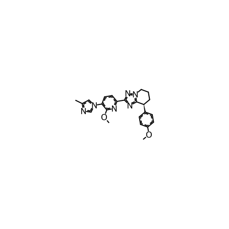 COc1ccc([C@@H]2CCCn3nc(-c4ccc(-n5cnc(C)c5)c(OC)n4)nc32)cc1